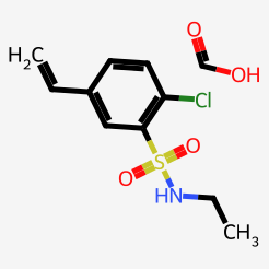 C=Cc1ccc(Cl)c(S(=O)(=O)NCC)c1.O=CO